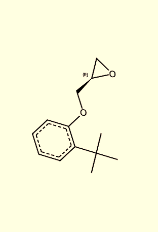 CC(C)(C)c1ccccc1OC[C@H]1CO1